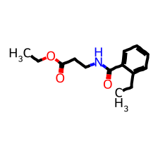 CCOC(=O)CCNC(=O)c1ccccc1CC